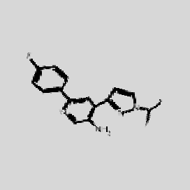 Nc1cnc(-c2ccc(F)cc2)cc1-c1ccn(C(F)F)n1